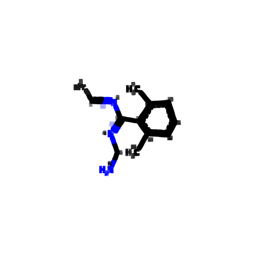 CCC/C=N/C(=N/CN)c1c(C)cccc1C